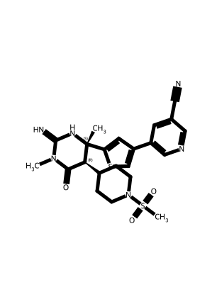 CN1C(=N)N[C@](C)(c2cc(-c3cncc(C#N)c3)cs2)[C@@H](C2CCN(S(C)(=O)=O)CC2)C1=O